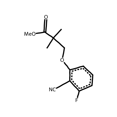 COC(=O)C(C)(C)COc1cccc(F)c1C#N